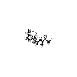 CN(C)C(=O)c1cccc(S(=O)(=O)c2ccc(CN)s2)c1